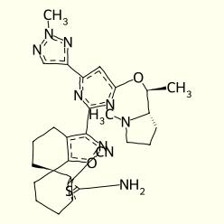 C[C@H](Oc1cc(-c2cnn(C)n2)nc(-c2noc3c2CCC[C@@]32CCCc3sc(N)c(C#N)c32)n1)[C@@H]1CCCN1C